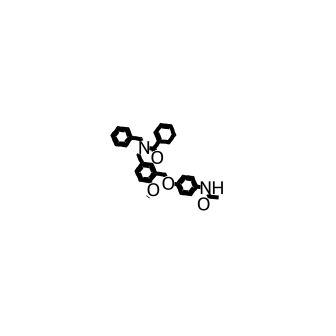 COc1ccc(CN(Cc2ccccc2)C(=O)C2=CC=CCC2)cc1COc1ccc(NC(C)=O)cc1